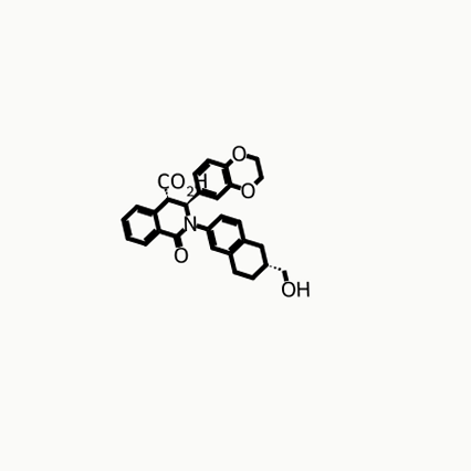 O=C(O)[C@H]1c2ccccc2C(=O)N(c2ccc3c(c2)CC[C@@H](CO)C3)[C@@H]1c1ccc2c(c1)OCCO2